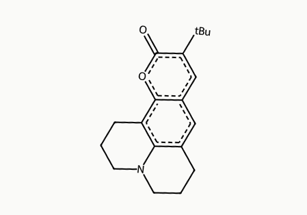 CC(C)(C)c1cc2cc3c4c(c2oc1=O)CCCN4CCC3